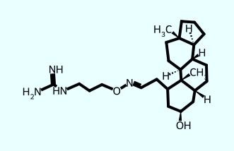 C[C@@]12CCC[C@H]1[C@@H]1CC[C@@H]3C[C@@H](O)CC(C/C=N/OCCCNC(=N)N)[C@]3(C)[C@H]1CC2